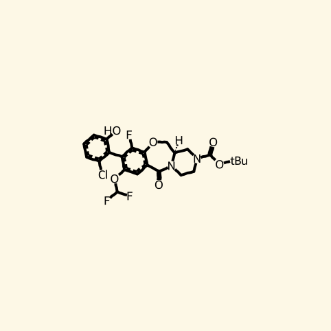 CC(C)(C)OC(=O)N1CCN2C(=O)c3cc(OC(F)F)c(-c4c(O)cccc4Cl)c(F)c3OC[C@H]2C1